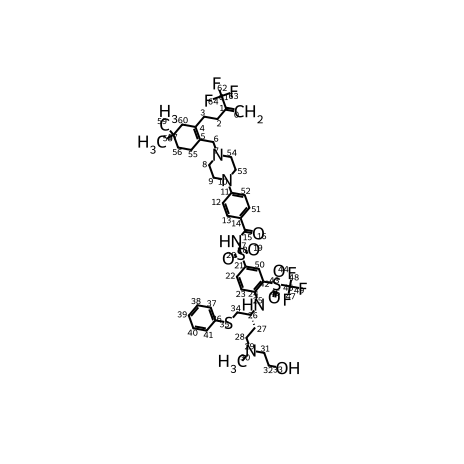 C=C(CCC1=C(CN2CCN(c3ccc(C(=O)NS(=O)(=O)c4ccc(N[C@H](CCN(C)CCO)CSc5ccccc5)c(S(=O)(=O)C(F)(F)F)c4)cc3)CC2)CCC(C)(C)C1)C(F)(F)F